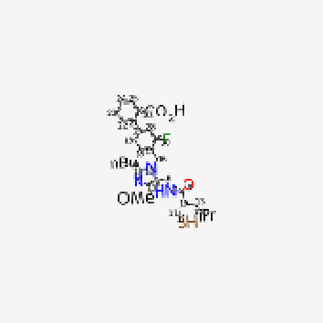 CCCCc1nc(OC)c(CNC(=O)[C@@H](CS)CC(C)C)n1Cc1ccc(-c2ccccc2C(=O)O)cc1F